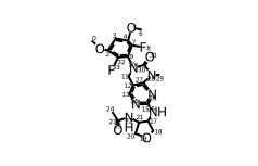 COc1cc(OC)c(F)c(N2Cc3cnc(NC4COCC4NC(C)=O)nc3N(C)C2=O)c1F